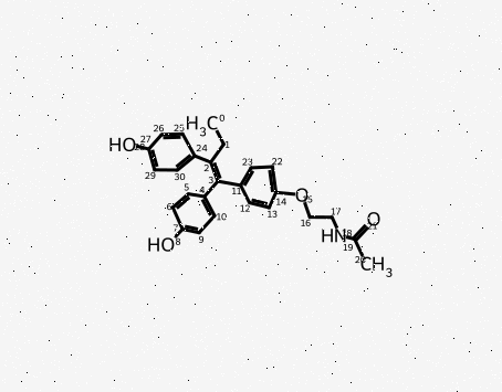 CCC(=C(c1ccc(O)cc1)c1ccc(OCCNC(C)=O)cc1)c1ccc(O)cc1